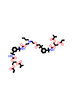 C=CC(=O)OCC(COC(=O)C(=C)C)OC(=O)NC(C)(C)c1cccc(C(C)(C)CC(=O)OCCN(CCCC)CCOC(=O)NC(C)(C)c2cccc(C(C)(C)NC(=O)OC(COC(=O)C=C)COC(=O)C(=C)C)c2)c1